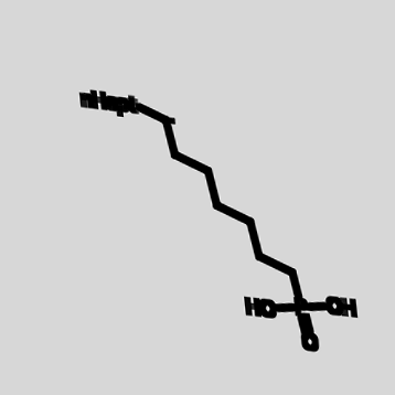 CCCCCCC[CH]CCCCCCP(=O)(O)O